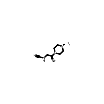 CN1CCN(C(=N)CNC#N)CC1